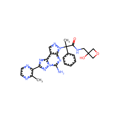 Cc1nccnc1-c1nc2c3cnn(C(C)(C(=O)NCC4(O)COC4)c4ccccc4)c3nc(N)n2n1